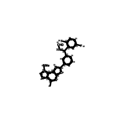 CNn1cnc2c(C)nc3oc(-c4cccc(C(NC=O)c5cc(F)ccc5F)c4)nc3c21